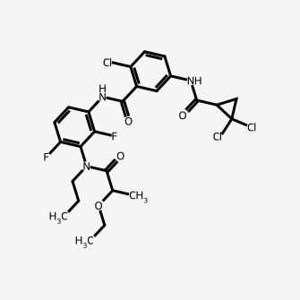 CCCN(C(=O)C(C)OCC)c1c(F)ccc(NC(=O)c2cc(NC(=O)C3CC3(Cl)Cl)ccc2Cl)c1F